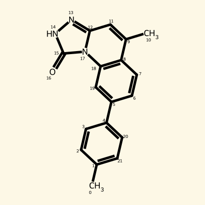 Cc1ccc(-c2ccc3c(C)cc4n[nH]c(=O)n4c3c2)cc1